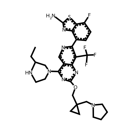 CCC1CN(c2nc(OCC3(CN4CCCC4)CC3)nc3c(C(F)(F)F)c(-c4ccc(F)c5sc(N)nc45)ncc23)CCN1